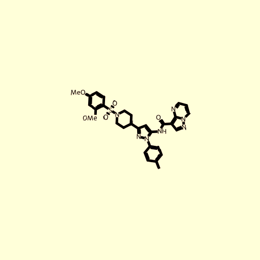 COc1ccc(S(=O)(=O)N2CCC(c3cc(NC(=O)c4cnn5cccnc45)n(-c4ccc(C)cc4)n3)CC2)c(OC)c1